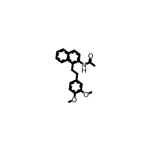 COc1ccc(CCc2c(NC(C)=O)ccc3ccccc23)cc1OC